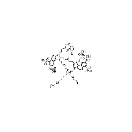 COCCOCCOCCOCCN1C=C(/C=C/C(C)=C/C=C2/N(CCCC(=O)ON3C(=O)CCC3=O)c3ccc4c(S(=O)(=O)O)cc(S(=O)(=O)O)cc4c3C2(C)CCOCCOCCOCCOC)C(C)(CCCS(=O)(=O)O)c2c1ccc1c(S(=O)(=O)O)cc(S(=O)(=O)O)cc21